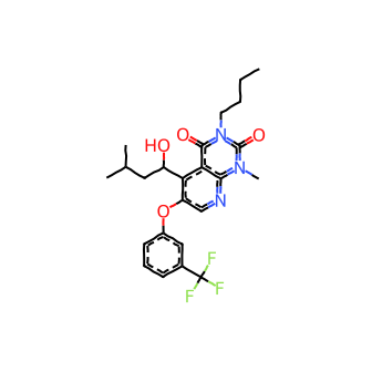 CCCCn1c(=O)c2c(C(O)CC(C)C)c(Oc3cccc(C(F)(F)F)c3)cnc2n(C)c1=O